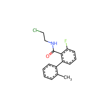 Cc1ccccc1-c1cccc(F)c1C(=O)NCCCl